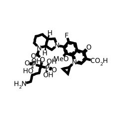 COc1c(N2C[C@H]3CCCN(C(=O)OC(CCCN)(P(=O)(O)O)P(=O)(O)O)[C@H]3C2)c(F)cc2c(=O)c(C(=O)O)cn(C3CC3)c12